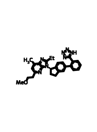 CCc1nc2c(C)cc(CCOC)nc2n1[C@H]1CCc2cc(-c3ccccc3-c3nnn[nH]3)ccc21